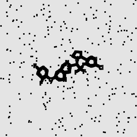 Fc1ccc(Oc2cnc3cc(C(N4CCCC4c4ccc(Cl)nc4)C(F)(F)F)ncc3c2)c(F)c1